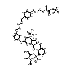 CN(C=N)C(=N)CC1(c2cccc(CC3C=C4C(C(F)(F)F)=CC(CN5CC=C(OCCOCc6ccc(COCCNC(=O)OC(C)(C)C)cc6)C5)=CN4C3=O)c2)COC1